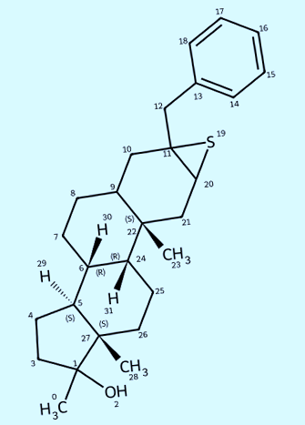 CC1(O)CC[C@H]2[C@@H]3CCC4CC5(Cc6ccccc6)SC5C[C@]4(C)[C@@H]3CC[C@@]21C